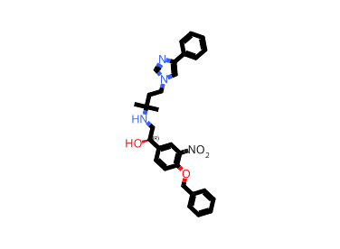 CC(C)(CCn1cnc(-c2ccccc2)c1)NC[C@H](O)c1ccc(OCc2ccccc2)c([N+](=O)[O-])c1